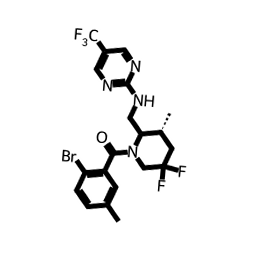 Cc1ccc(Br)c(C(=O)N2CC(F)(F)C[C@@H](C)C2CNc2ncc(C(F)(F)F)cn2)c1